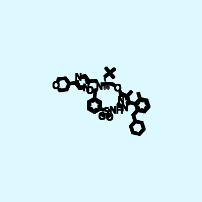 Cc1cccc(CC2CCCCC2)c1-c1nc2nc(c1C)OC[C@@H](CC(C)(C)C)N(Cc1cnc(C3CCOCC3)cn1)C(=O)c1cccc(c1)S(=O)(=O)N2